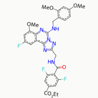 CCOC(=O)c1cc(F)c(C(=O)NCc2nc3c4cc(F)cc(OC)c4nc(NCc4ccc(OC)cc4OC)n3n2)c(F)c1